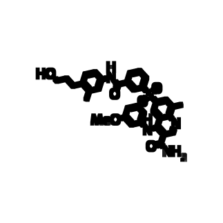 COc1cccc(Nc2c(C(N)=O)cnc3c(C)cc(S(=O)(=O)c4cccc(C(=O)Nc5ccc(CCCO)c(C)c5)c4)cc23)c1